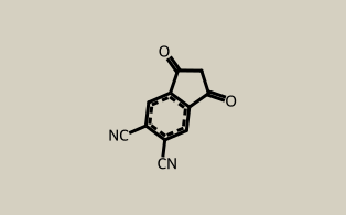 N#Cc1cc2c(cc1C#N)C(=O)CC2=O